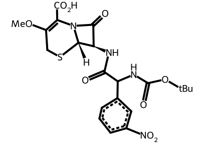 COC1=C(C(=O)O)N2C(=O)[C@@H](NC(=O)C(NC(=O)OC(C)(C)C)c3cccc([N+](=O)[O-])c3)[C@@H]2SC1